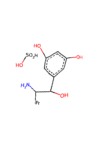 CC(C)C(N)C(O)c1cc(O)cc(O)c1.O=S(=O)(O)O